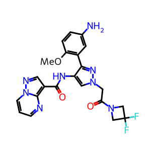 COc1ccc(N)cc1-c1nn(CC(=O)N2CC(F)(F)C2)cc1NC(=O)c1cnn2cccnc12